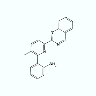 Cc1ccc(-c2ncc3ccccc3n2)nc1-c1ccccc1N